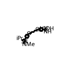 CNc1nc(-c2ccc(OCCCCCOc3ccc(C(=N)NO)cc3)cc2)c(C(C)C)s1